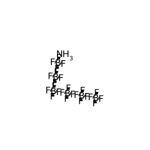 F[B-](F)(F)F.F[B-](F)(F)F.F[B-](F)(F)F.F[B-](F)(F)F.F[B-](F)(F)F.F[B-](F)(F)F.N